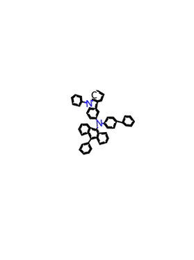 c1ccc(-c2ccc(N(c3ccc4c(c3)c3ccccc3n4-c3ccccc3)c3c4ccccc4c(-c4ccccc4)c4ccccc34)cc2)cc1